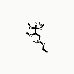 CCO[SiH2]CC(OC)C(N)(OC)OC